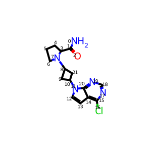 NC(=O)C1CCCN1C1CC(n2ccc3c(Cl)ncnc32)C1